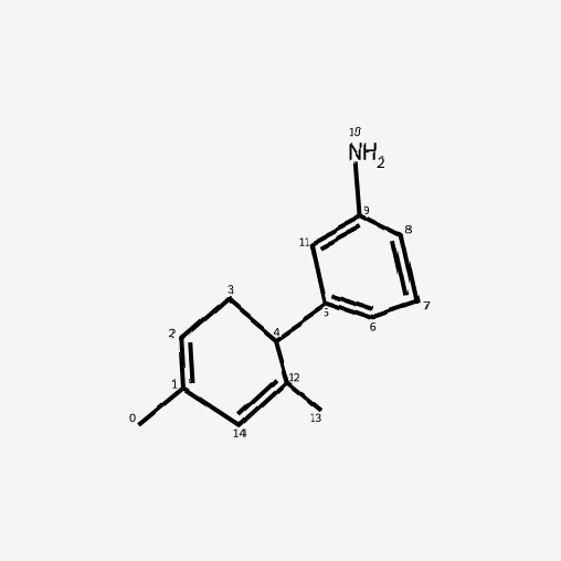 CC1=CCC(c2cccc(N)c2)C(C)=C1